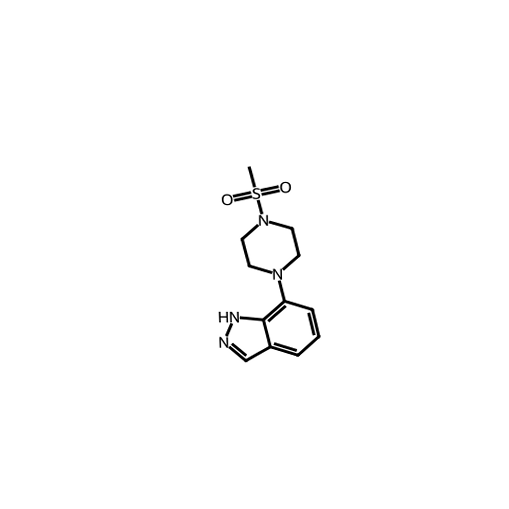 CS(=O)(=O)N1CCN(c2cccc3cn[nH]c23)CC1